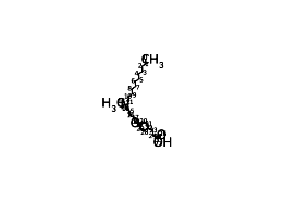 CCCCCCCCCCCCN(C)CCCCOc1ccc(CCC(=O)O)cc1